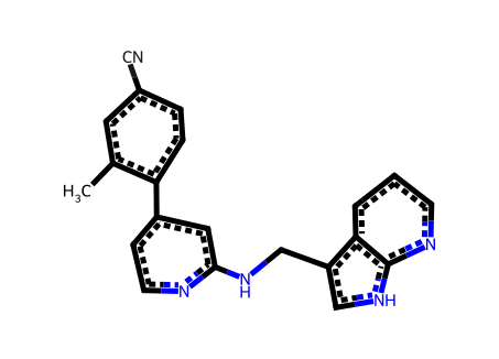 Cc1cc(C#N)ccc1-c1ccnc(NCc2c[nH]c3ncccc23)c1